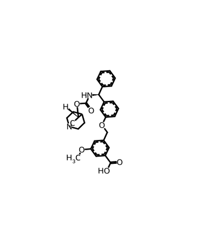 COc1cc(COc2cccc([C@@H](NC(=O)O[C@H]3CN4CCC3CC4)c3ccccc3)c2)cc(C(=O)O)c1